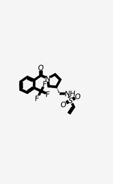 C=CS(=O)(=O)NC[C@H]1CCN(C(=O)c2ccccc2C(F)(F)F)C1